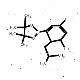 CC(C)CC1C(B2OC(C)(C)C(C)(C)O2)=CC(F)=CC1C